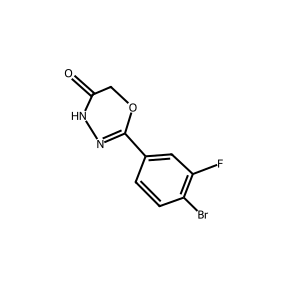 O=C1COC(c2ccc(Br)c(F)c2)=NN1